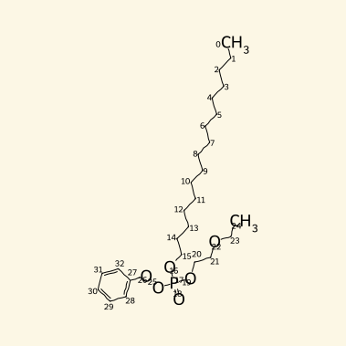 CCCCCCCCCCCCCCCCOP(=O)(OCCOCC)OOc1ccccc1